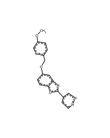 COc1ccc(COc2ccc3oc(-c4ccnnc4)nc3c2)nc1